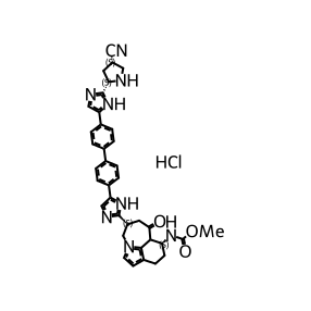 COC(=O)N[C@H]1CCc2ccn3c2C1C(=O)C[C@H](c1ncc(-c2ccc(-c4ccc(-c5cnc([C@@H]6C[C@H](C#N)CN6)[nH]5)cc4)cc2)[nH]1)C3.Cl